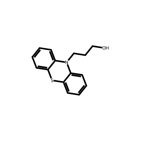 OCCCN1c2ccccc2Sc2ccccc21